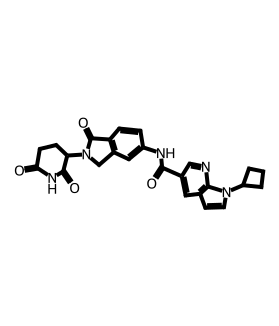 O=C1CCC(N2Cc3cc(NC(=O)c4cnc5c(ccn5C5CCC5)c4)ccc3C2=O)C(=O)N1